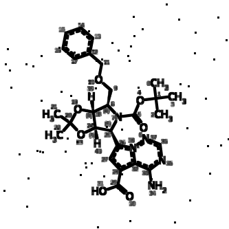 CC(C)(C)OC(=O)N1[C@H](COCc2ccccc2)[C@H]2OC(C)(C)O[C@H]2[C@@H]1c1cc(C(=O)O)c2c(N)ncnn12